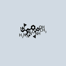 C[C@]1(O)C[C@](C(=O)NC2CC2)(c2cccc(-c3cc(-c4ccnn4C4CC4)c4c(N)ncnn34)c2)C1